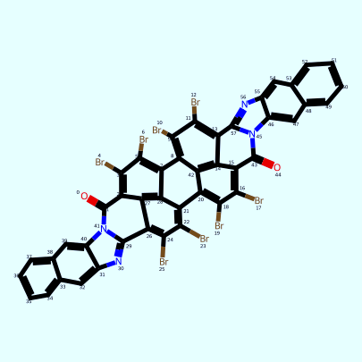 O=c1c2c(Br)c(Br)c3c4c(Br)c(Br)c5c6c(c(Br)c(Br)c(c7c(Br)c(Br)c(c2c37)c2nc3cc7ccccc7cc3n12)c46)c(=O)n1c2cc3ccccc3cc2nc51